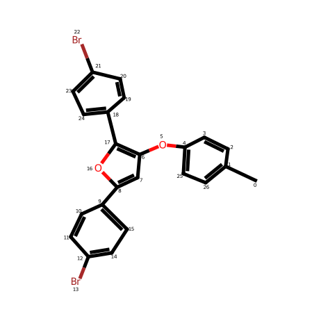 Cc1ccc(Oc2cc(-c3ccc(Br)cc3)oc2-c2ccc(Br)cc2)cc1